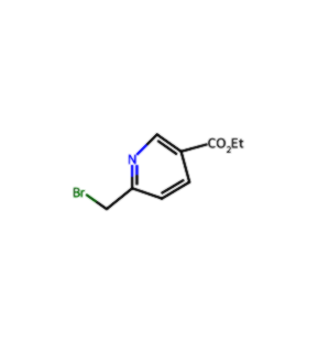 CCOC(=O)c1ccc(CBr)nc1